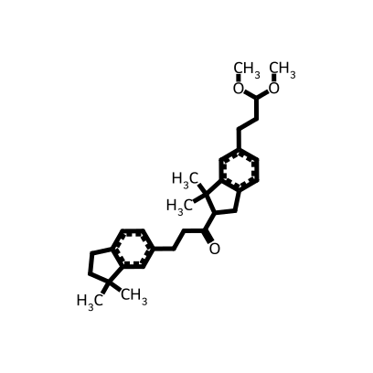 COC(CCc1ccc2c(c1)C(C)(C)C(C(=O)CCc1ccc3c(c1)C(C)(C)CC3)C2)OC